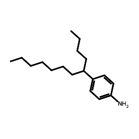 CCCCCCCC(CCCC)c1ccc(N)cc1